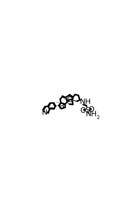 C[C@]12CC=C3C=C4CC[C@H](NCCS(N)(=O)=O)C[C@]45CC[C@]3(O5)[C@@H]1CC[C@@H]2c1ccc2ccncc2c1